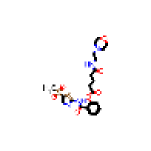 CS(=O)(=O)c1cnc(NC(=O)c2ccccc2OC(=O)CCCC(=O)NCCN2CCOCC2)s1